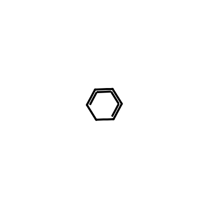 C1=C=CCC=C=1